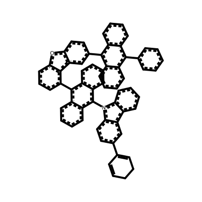 C1=CC(c2ccc3c(c2)c2ccccc2n3-c2c3ccccc3c(-c3cccc4oc5ccc(-c6c7ccccc7c(-c7ccccc7)c7ccccc67)cc5c34)c3ccccc23)=CCC1